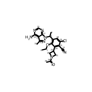 CCOc1c(C(C)n2nc(C)c3c(N)ncnc32)cc(Cl)c(C#N)c1C1CN(C(C)=O)C1